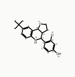 CC(C)(C)c1ccc2c(c1)C1OCCC1C(c1ccc(O)cc1Cl)N2